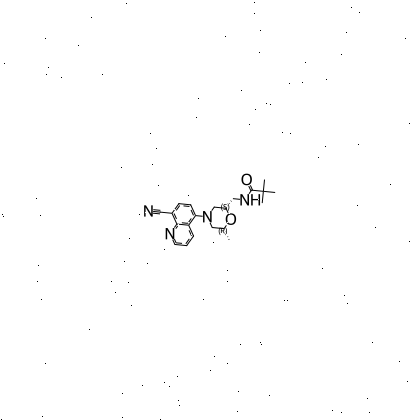 C[C@@H]1CN(c2ccc(C#N)c3ncccc23)C[C@H](CNC(=O)C(C)(C)C)O1